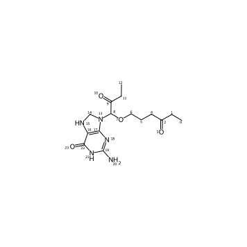 CCC(=O)CCCOC(C(=O)CC)N1CNc2c1nc(N)[nH]c2=O